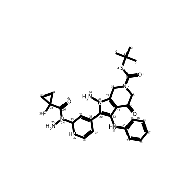 CC(C)(C)SC(=O)N1CC(=O)c2c(Nc3ccccc3)c(C3=CC(N(N)C(=O)C4(F)CC4)NC=C3)n(N)c2C1